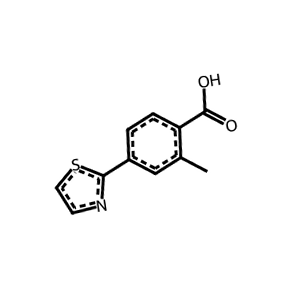 Cc1cc(-c2nccs2)ccc1C(=O)O